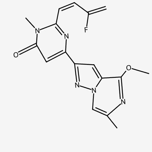 C=C(F)/C=C\c1nc(-c2cc3c(OC)nc(C)cn3n2)cc(=O)n1C